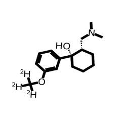 [2H]C([2H])([2H])Oc1cccc([C@]2(O)CCCC[C@H]2CN(C)C)c1